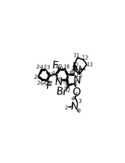 CN(C)CCOc1nc(N2C3CCCC2CC3)c2cc(F)c(-c3ccccc3F)nc2c1Br